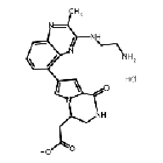 Cc1nc2cccc(-c3cc4n(c3)C(CC(=O)O)CNC4=O)c2nc1NCCN.Cl